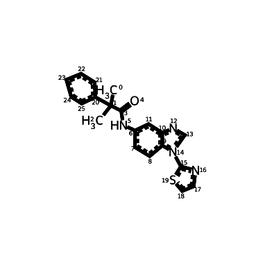 CC(C)(C(=O)Nc1ccc2c(c1)ncn2-c1nccs1)c1ccccc1